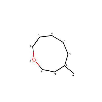 CC1CCCCCOCC1